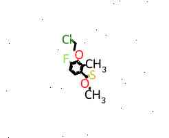 CCOC(=S)c1ccc(F)c(OCCCl)c1C